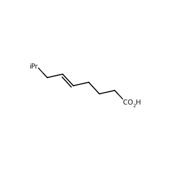 CC(C)C/C=C/CCCC(=O)O